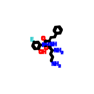 NCCC[C@H](N)C(=O)N[C@H](CCc1ccccc1)C(=O)Nc1cc(F)ccc1O